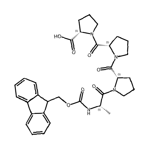 C[C@H](NC(=O)OCC1c2ccccc2-c2ccccc21)C(=O)N1CCC[C@H]1C(=O)N1CCC[C@H]1C(=O)N1CCC[C@H]1C(=O)O